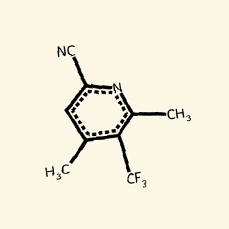 Cc1cc(C#N)nc(C)c1C(F)(F)F